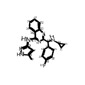 Cc1cc(Nc2nc(C(NC3CC3)c3ccc(F)cc3)nc3ccccc23)n[nH]1